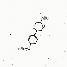 CCCCOc1ccc(C2COC(CCCC)CO2)cc1